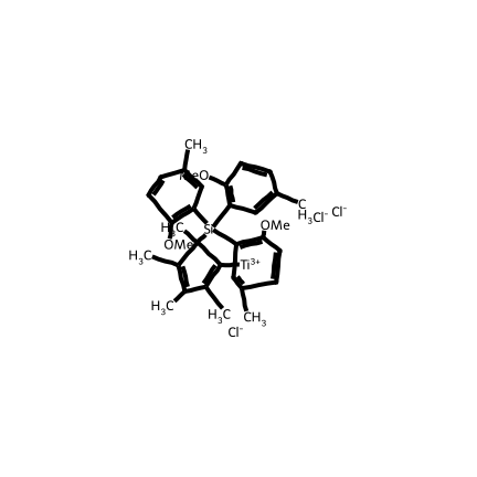 COc1ccc(C)cc1[Si](c1cc(C)ccc1OC)(c1cc(C)ccc1OC)C1(C)C(C)=C(C)C(C)=[C]1[Ti+3].[Cl-].[Cl-].[Cl-]